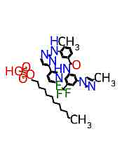 CCCCCCCCCCCCOS(=O)(=O)O.Cc1cn(-c2cc(NC(=O)c3ccc(C)c(Nc4nccc(-c5cccnc5)n4)c3)cc(C(F)(F)F)c2)cn1